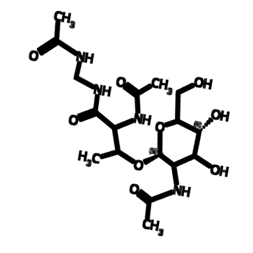 CC(=O)NCNC(=O)C(NC(C)=O)C(C)O[C@H]1OC(CO)[C@H](O)C(O)C1NC(C)=O